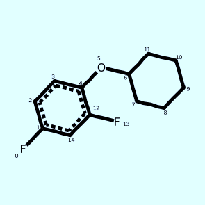 Fc1ccc(OC2CCCCC2)c(F)c1